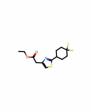 CCOC(=O)Cc1csc(C2CCC(F)(F)CC2)n1